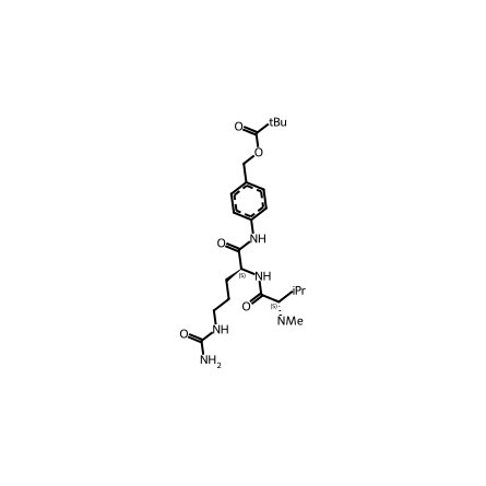 CN[C@H](C(=O)N[C@@H](CCCNC(N)=O)C(=O)Nc1ccc(COC(=O)C(C)(C)C)cc1)C(C)C